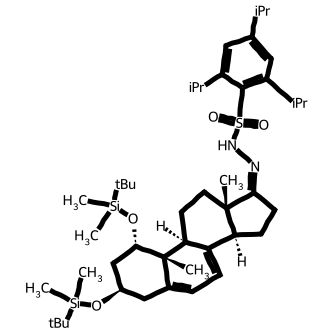 CC(C)c1cc(C(C)C)c(S(=O)(=O)N/N=C2/CC[C@H]3C4=CC=C5C[C@@H](O[Si](C)(C)C(C)(C)C)C[C@H](O[Si](C)(C)C(C)(C)C)[C@]5(C)[C@H]4CC[C@]23C)c(C(C)C)c1